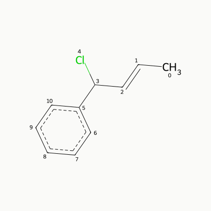 CC=CC(Cl)c1ccccc1